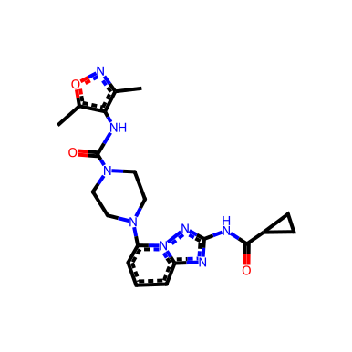 Cc1noc(C)c1NC(=O)N1CCN(c2cccc3nc(NC(=O)C4CC4)nn23)CC1